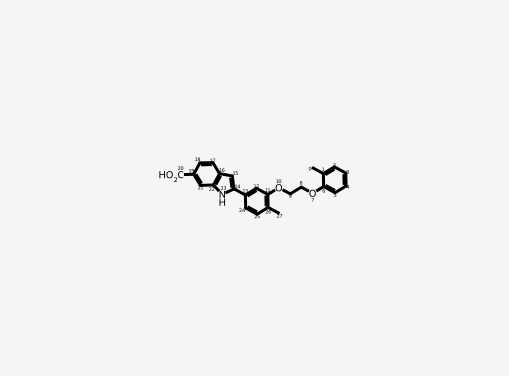 Cc1ccccc1OCCOc1cc(-c2cc3ccc(C(=O)O)cc3[nH]2)ccc1C